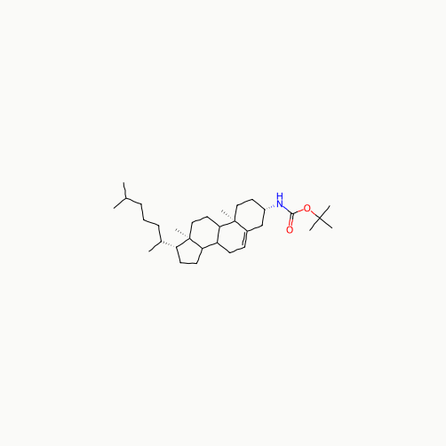 CC(C)CCCC(C)[C@H]1CCC2C3CC=C4C[C@@H](NC(=O)OC(C)(C)C)CC[C@]4(C)C3CC[C@@]21C